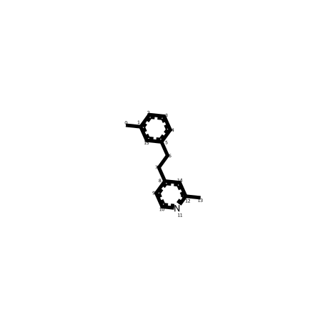 Cc1cccc(CCc2ccnc(C)c2)c1